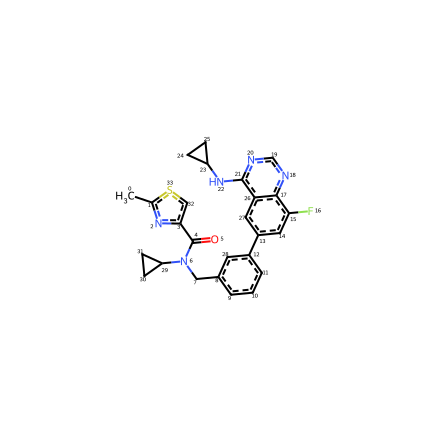 Cc1nc(C(=O)N(Cc2cccc(-c3cc(F)c4ncnc(NC5CC5)c4c3)c2)C2CC2)cs1